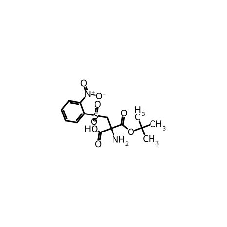 CC(C)(C)OC(=O)C(N)(CS(=O)(=O)c1ccccc1[N+](=O)[O-])C(=O)O